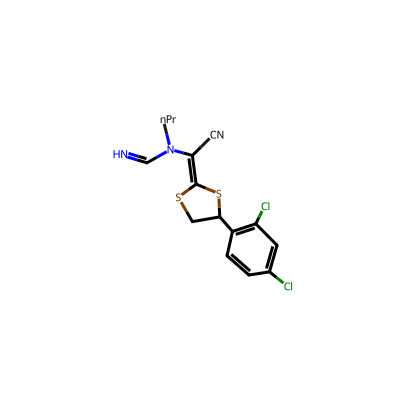 CCCN(C=N)/C(C#N)=C1\SCC(c2ccc(Cl)cc2Cl)S1